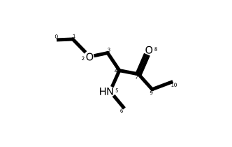 CCOCC(NC)C(=O)CC